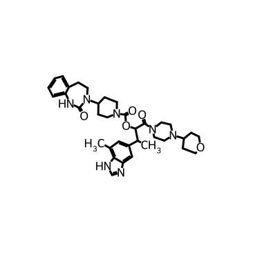 Cc1cc(C(C)C(OC(=O)N2CCC(N3CCc4ccccc4NC3=O)CC2)C(=O)N2CCN(C3CCOCC3)CC2)cc2nc[nH]c12